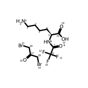 NCCCC[C@H](NC(=O)C(F)(F)F)C(=O)O.O=C(CBr)CBr